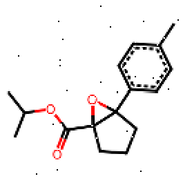 Cc1ccc(C23CCCC2(C(=O)OC(C)C)O3)cc1